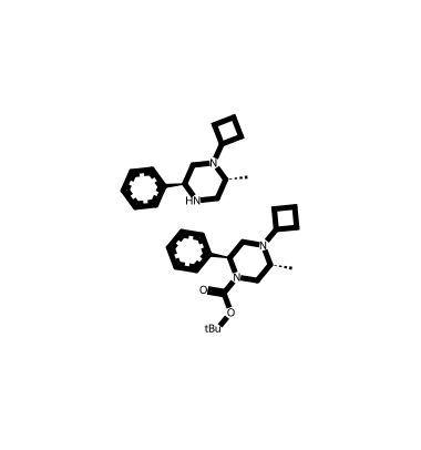 C[C@@H]1CN(C(=O)OC(C)(C)C)[C@@H](c2ccccc2)CN1C1CCC1.C[C@@H]1CN[C@@H](c2ccccc2)CN1C1CCC1